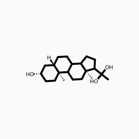 CC(O)(O)C1CCC2C3CC[C@H]4C[C@@H](O)CC[C@]4(C)C3CC[C@@]21C